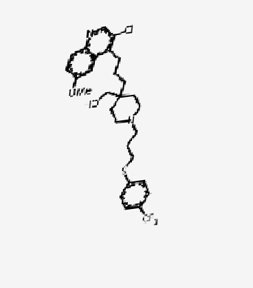 COc1ccc2ncc(Cl)c(CCCC3(CO)CCN(CCCSc4ccc(C(F)(F)F)cc4)CC3)c2c1